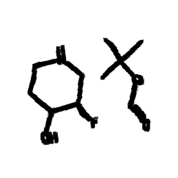 CC(C)(C)OC=O.OC1CCNCC1F